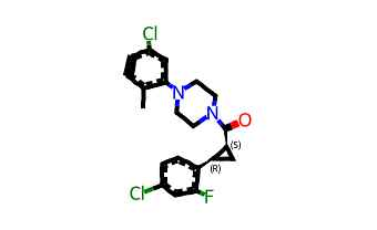 Cc1c#cc(Cl)cc1N1CCN(C(=O)[C@H]2C[C@H]2c2ccc(Cl)cc2F)CC1